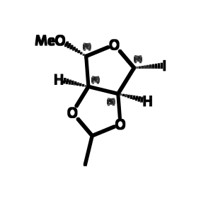 CO[C@@H]1O[C@H](I)[C@H]2OC(C)O[C@@H]12